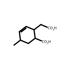 CC1C=CC(CC(=O)O)C(C(=O)O)C1